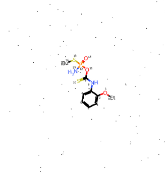 CCOc1ccccc1NC(=S)OP(N)(=O)SC(C)CC